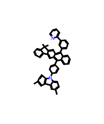 Cc1ccc2c(c1)c1cc(C)ccc1n2C1C=CC(c2c3ccccc3c(-c3cccc(-c4ccccn4)c3)c3cc4c(cc23)-c2ccccc2C4(C)C)=CC1